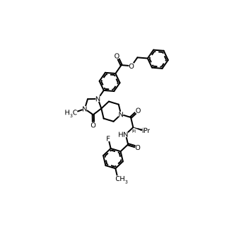 Cc1ccc(F)c(C(=O)N[C@@H](C(=O)N2CCC3(CC2)C(=O)N(C)CN3c2ccc(C(=O)OCc3ccccc3)cc2)C(C)C)c1